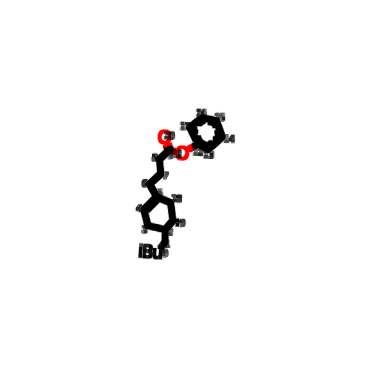 CCC(C)CC1CC=C(CCCC(=O)Oc2ccccc2)CC1